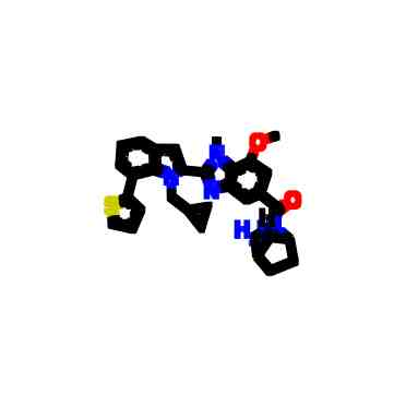 COc1cc(C(=O)N2CC3CCC2[C@@H]3N)cc2nc(-c3cc4cccc(-c5cccs5)c4n3CC3CC3)n(C)c12